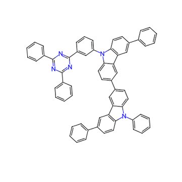 c1ccc(-c2ccc3c(c2)c2cc(-c4ccc5c(c4)c4cc(-c6ccccc6)ccc4n5-c4cccc(-c5nc(-c6ccccc6)nc(-c6ccccc6)n5)c4)ccc2n3-c2ccccc2)cc1